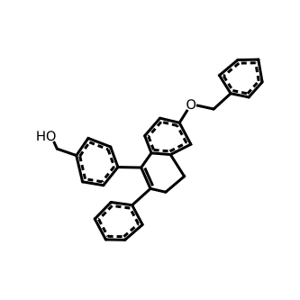 OCc1ccc(C2=C(c3ccccc3)CCc3cc(OCc4ccccc4)ccc32)cc1